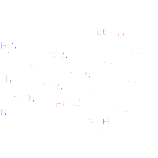 CCOc1ccc2ccccc2c1CN(C[C@@H](O)C(=O)O)c1ncc2c(N)nc(N)nc2n1